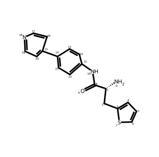 N[C@H](Cc1cccs1)C(=O)Nc1ccc(-c2ccncc2)cc1